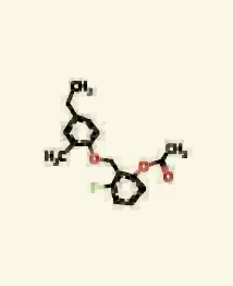 CCc1ccc(OCc2c(F)cccc2OC(C)=O)c(C)c1